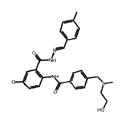 Cc1ccc(C=NNC(=O)c2cc(Cl)ccc2NC(=O)c2ccc(CN(C)CCO)cc2)cc1